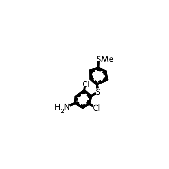 CSc1ccc(Sc2c(Cl)cc(N)cc2Cl)cc1